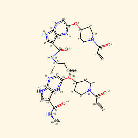 C=CC(=O)N1CCC(Oc2cnc3[nH]cc(C(=O)N[C@@H](C)COC)c3n2)CC1.C=CC(=O)N1CCC(Oc2cnc3[nH]cc(C(=O)N[C@H](C)CC)c3n2)CC1